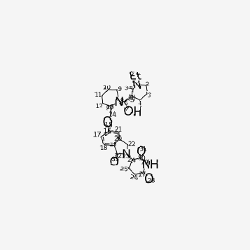 CCN1CCC[C@@H](C(O)N2CCCC[C@@H]2COc2ccc3c(c2)CN(C2CCC(=O)NC2=O)C3=O)C1